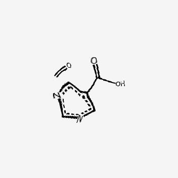 C=O.O=C(O)c1cncnc1